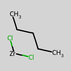 CCCCC.[Cl][Zr][Cl]